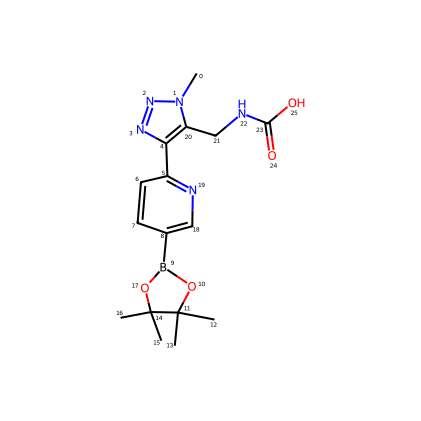 Cn1nnc(-c2ccc(B3OC(C)(C)C(C)(C)O3)cn2)c1CNC(=O)O